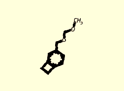 COCOCc1ccc2c(c1)CC2